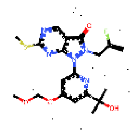 C=C(F)Cn1c(=O)c2cnc(SC)nc2n1-c1cc(OCOC)cc(C(C)(C)O)n1